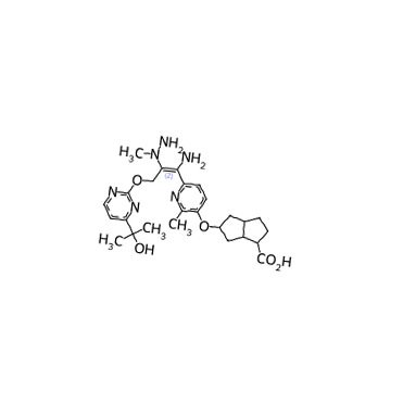 Cc1nc(/C(N)=C(\COc2nccc(C(C)(C)O)n2)N(C)N)ccc1OC1CC2CCC(C(=O)O)C2C1